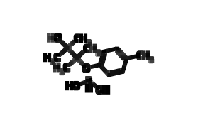 Cc1ccc(OC(C)(C)C(C)(C)O)cc1.OBO